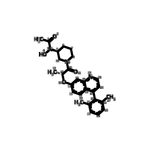 CC(=O)N(O)[C@H]1CCCN(C(=O)[C@@H](C)Oc2ccc3c(-c4c(C)cccc4C)ccnc3c2)C1